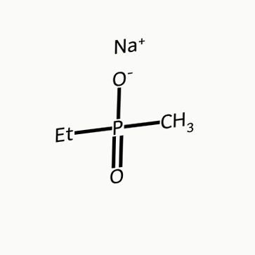 CCP(C)(=O)[O-].[Na+]